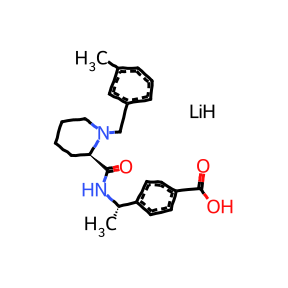 Cc1cccc(CN2CCCC[C@@H]2C(=O)N[C@@H](C)c2ccc(C(=O)O)cc2)c1.[LiH]